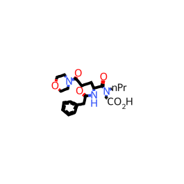 CCCN(CC(=O)O)C(=O)C(CCC(=O)N1CCOCC1)NC(=O)Cc1ccccc1